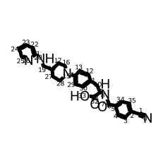 N#Cc1ccc(C(=O)NC(Cc2ccc(N3CCC(CNc4ccccn4)CC3)cc2)C(=O)O)cc1